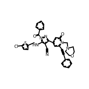 N#Cc1c(-c2cc(C#Cc3ccccc3)n(CN3CCOCC3)c(=O)c2)nn(C(=O)c2ccccc2)c1NCc1ccc(Cl)s1